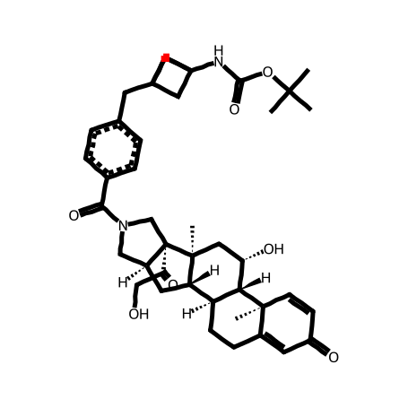 CC(C)(C)OC(=O)NC12CC(Cc3ccc(C(=O)N4C[C@@H]5C[C@H]6[C@@H]7CCC8=CC(=O)C=C[C@]8(C)[C@H]7[C@@H](O)C[C@]6(C)[C@]5(C(=O)CO)C4)cc3)(C1)C2